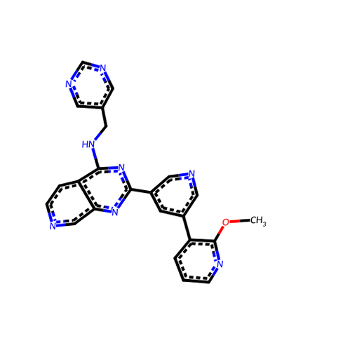 COc1ncccc1-c1cncc(-c2nc(NCc3cncnc3)c3ccncc3n2)c1